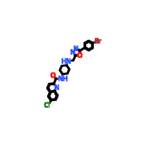 O=C(N[C@H]1CC[C@H](NCc2nnc(-c3ccc(Br)cc3)o2)CC1)c1ccc2cc(Cl)ccc2n1